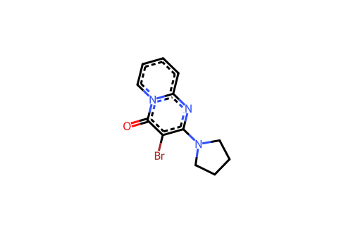 O=c1c(Br)c(N2CCCC2)nc2ccccn12